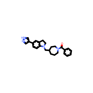 O=C(c1ccccc1)N1CCCC(CN2CCc3cc(-c4cn[nH]c4)ccc32)CC1